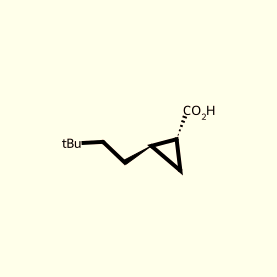 CC(C)(C)CC[C@@H]1C[C@H]1C(=O)O